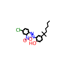 CCCCCC(C)(C)c1ccc(O)c(N=Nc2ccc(Cl)cc2[N+](=O)[O-])c1